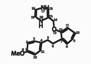 COc1ccc(CCc2ccccc2OCC2=CNC=CN2)cc1